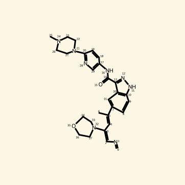 C=N/C=C(\C=C(/C)c1ccc2[nH]nc(C(=O)Nc3ccc(N4CCN(C)CC4)nc3)c2c1)N1CCOCC1